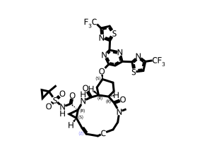 CN1CCCC/C=C\[C@@H]2C[C@@]2(C(=O)NS(=O)(=O)C2(C)CC2)NC(=O)[C@@H]2C[C@@H](Oc3cc(-c4nc(C(F)(F)F)cs4)nc(-c4nc(C(F)(F)F)cs4)n3)CC[C@H]2C1=O